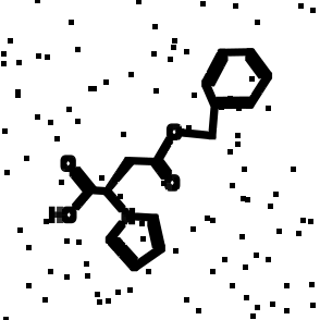 O=C(C[C@H](C(=O)O)n1cccc1)OCc1ccccc1